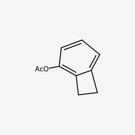 CC(=O)Oc1cccc2c1CC2